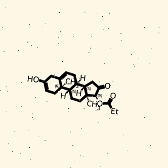 CCC(=O)O[C@H]1C(=O)C[C@H]2[C@@H]3CC=C4CC(O)=CC[C@]4(C)[C@H]3CC[C@]12C